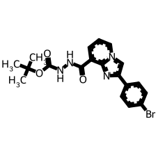 CC(C)(C)OC(=O)NNC(=O)c1cccn2cc(-c3ccc(Br)cc3)nc12